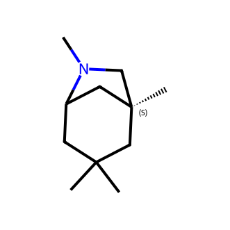 CN1C[C@]2(C)CC1CC(C)(C)C2